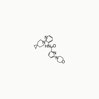 O=C(Nc1cccnc1N1CCC2(CC1)CC2)c1cccc(N2CCOCC2)n1